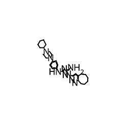 Nc1nc(Nc2ccc(N3CCN(C4CCCCC4)CC3)cc2)nn1-c1cc2c(nn1)CCCCCC2